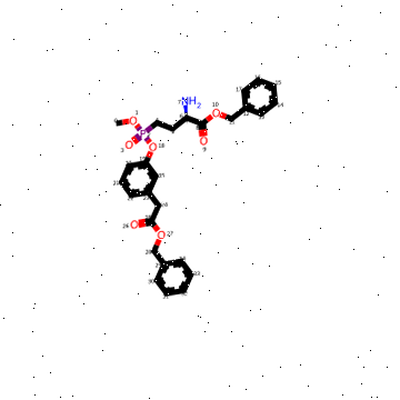 COP(=O)(CC[C@@H](N)C(=O)OCc1ccccc1)Oc1cccc(CC(=O)OCc2ccccc2)c1